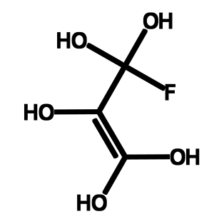 OC(O)=C(O)C(O)(O)F